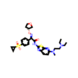 CCN(CC)CCN(C)c1ccc2nc(NC(=O)/C(=N/O[C@@H]3CCOC3)c3ccc(S(=O)(=O)C4CC4)cc3)sc2n1